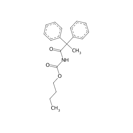 CCCCOC(=O)NC(=O)C(C)(c1ccccc1)c1ccccc1